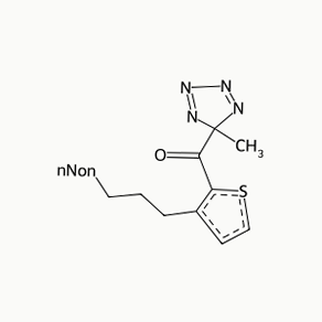 CCCCCCCCCCCCc1ccsc1C(=O)C1(C)N=NN=N1